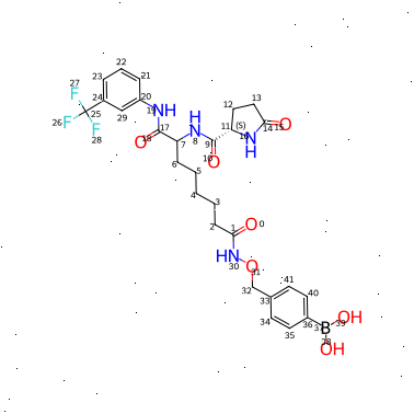 O=C(CCCCCC(NC(=O)[C@@H]1CCC(=O)N1)C(=O)Nc1cccc(C(F)(F)F)c1)NOCc1ccc(B(O)O)cc1